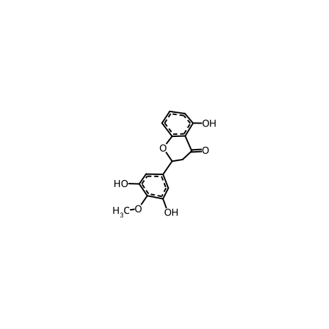 COc1c(O)cc(C2CC(=O)c3c(O)cccc3O2)cc1O